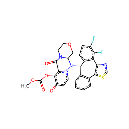 COC(=O)Oc1c2n(ccc1=O)N(C1c3ccccc3-c3scnc3-c3c1ccc(F)c3F)C1COCCN1C2=O